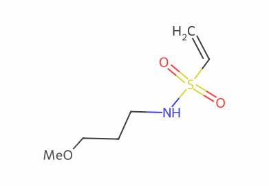 C=CS(=O)(=O)NCCCOC